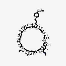 C/C=C/C[C@@H](C)[C@@H](O)[C@H]1C(=O)N[C@@H](CC)C(=O)N(C)[C@H](C)C(=O)N(C)[C@@H]([C@H](C)CCCN2CCC(OC)CC2)C(=O)N[C@@H](C(C)C)C(=O)N(C)[C@@H](CC(C)C)C(=O)N[C@@H](C)C(=O)N[C@H](C)C(=O)N(C)[C@@H](CC(C)C)C(=O)N(C)[C@@H](CC(C)C)C(=O)N(C)[C@@H](C(C)C)C(=O)N1C